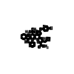 CC(C)(C)[C@H](NC(=O)[C@@H](Nc1ncccn1)C1CCCCC1)C(=O)N1C[C@H](Oc2ccc(Cl)cn2)CC1C(=O)NC(CC1CCC1)C(=O)C(N)=O